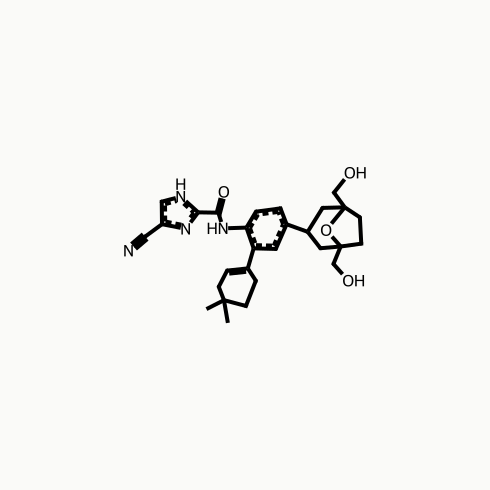 CC1(C)CC=C(c2cc(C3CC4(CO)CCC(CO)(C3)O4)ccc2NC(=O)c2nc(C#N)c[nH]2)CC1